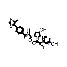 C=NN(/C=C(\C)O)C(C(=O)N1C[C@H](O)C[C@H]1C(=O)N[C@@H](C)c1ccc(-c2scnc2C)cc1)C(C)C